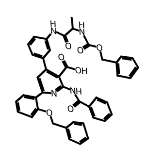 CC(NC(=O)OCc1ccccc1)C(=O)Nc1cccc(-c2cc(-c3ccccc3OCc3ccccc3)nc(NC(=O)c3ccccc3)c2C(=O)O)c1